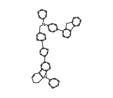 C1=Cc2c(n(-c3ccccc3)c3ccc(-c4ccc(-c5ccc(CN(c6ccccc6)c6ccc(-c7cccc8c7Cc7ccccc7-8)cc6)cc5)cc4)cc23)CC1